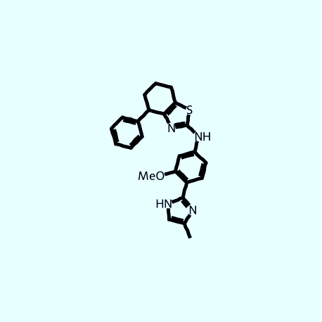 COc1cc(Nc2nc3c(s2)CCCC3c2ccccc2)ccc1-c1nc(C)c[nH]1